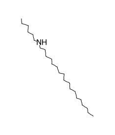 CCCCCCCCCCCCCCCCCCNCCCCCC